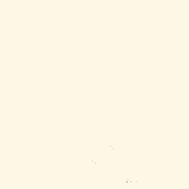 CCCCCCCCCc1cnc(-c2ccc(OCCCCCCC3CCCC3)cc2)nc1